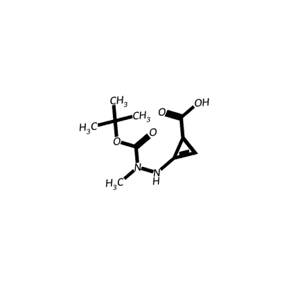 CN(NC1=CC1C(=O)O)C(=O)OC(C)(C)C